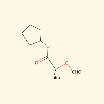 CCCCC(O[C]=O)C(=O)OC1CCCC1